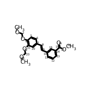 COCOc1ccc(/C=C/c2cccc(C(=O)OC)c2)cc1OCOC